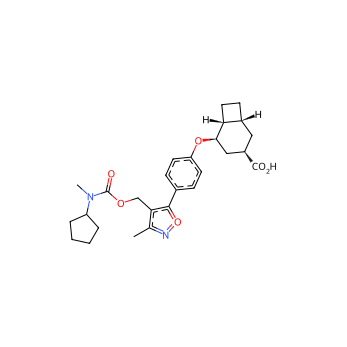 Cc1noc(-c2ccc(O[C@@H]3C[C@H](C(=O)O)C[C@H]4CC[C@H]43)cc2)c1COC(=O)N(C)C1CCCC1